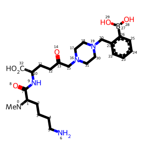 CNC(CCCCN)C(=O)NC(CCC(=O)CN1CCN(Cc2ccccc2B(O)O)CC1)C(=O)O